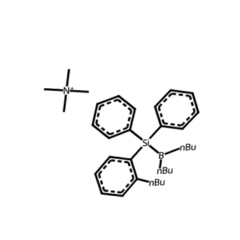 CCCCB(CCCC)[Si](c1ccccc1)(c1ccccc1)c1ccccc1CCCC.C[N+](C)(C)C